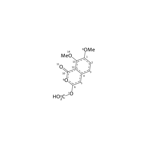 COc1ccc2cc(OC(=O)O)oc(=O)c2c1OC